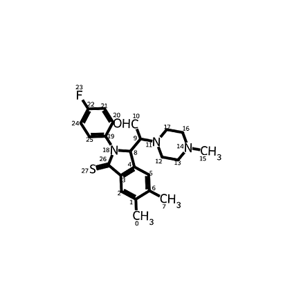 Cc1cc2c(cc1C)C(C(C=O)N1CCN(C)CC1)N(c1ccc(F)cc1)C2=S